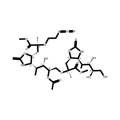 C=C1N[C@@H](C(C)[C@H](O)[C@@H](CO[C@@](C)(C[C@H]2OC(=O)N[C@H]2C(C)[C@H](O)[C@H](O)CO)C(=O)OC)OC(C)=O)[C@@H](C[C@](C)(OCCN=[N+]=[N-])C(=O)OC)O1